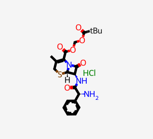 CC1=C(C(=O)OCOC(=O)C(C)(C)C)N2C(=O)[C@@H](NC(=O)[C@H](N)c3ccccc3)[C@H]2SC1.Cl